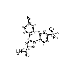 CS(=O)(=O)c1ccc(-c2cc(C(N)=O)sc2-c2ccc(F)cc2)cc1